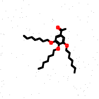 CCCCCCCOc1cc(C(C)=O)cc(OCCCCCCC)c1OCCCCCCC